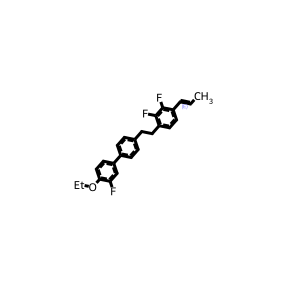 C/C=C/c1ccc(CCc2ccc(-c3ccc(OCC)c(F)c3)cc2)c(F)c1F